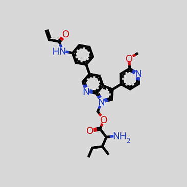 C=CC(=O)Nc1cccc(-c2cnc3c(c2)c(-c2ccnc(OC)c2)cn3COC(=O)C(N)C(C)CC)c1